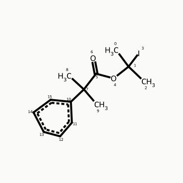 CC(C)(I)OC(=O)C(C)(C)c1ccccc1